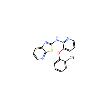 N#Cc1ccccc1Oc1cccnc1Nc1nc2cccnc2s1